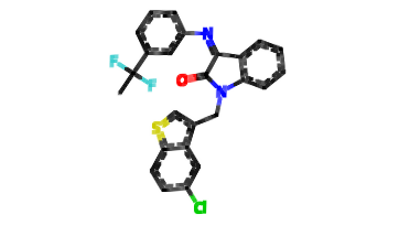 CC(F)(F)c1cccc(N=C2C(=O)N(Cc3csc4ccc(Cl)cc34)c3ccccc32)c1